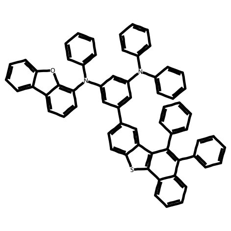 c1ccc(-c2c(-c3ccccc3)c3c4cc(-c5cc(N(c6ccccc6)c6ccccc6)cc(N(c6ccccc6)c6cccc7c6oc6ccccc67)c5)ccc4sc3c3ccccc23)cc1